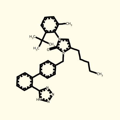 CCCCCc1cn(-c2c(C)cccc2C(C)(C)C)c(=O)n1Cc1ccc(-c2ccccc2-c2nnn[nH]2)cc1